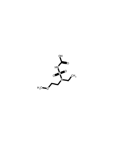 CCN(CCOC)S(=O)(=O)NC(=O)O